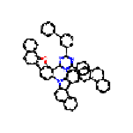 c1ccc(-c2cccc(-c3nc(-c4ccc5c(ccc6ccccc65)c4)nc(-c4c(-n5c6cc7ccccc7cc6c6c7ccccc7ccc65)ccc5c4oc4c6ccccc6ccc54)n3)c2)cc1